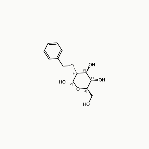 OC[C@H]1O[C@H](O)[C@H](OCc2ccccc2)[C@@H](O)[C@H]1O